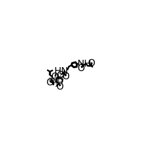 CO[C@H]1[C@H](C2(C)O[C@@H]2CC=C(C)C)[C@]2(CC[C@H]1OC(=O)NCCc1ccc(NC(=O)CCC(C)=O)cc1)CO2